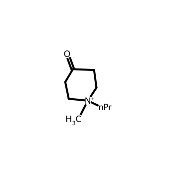 CCC[N+]1(C)CCC(=O)CC1